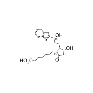 O=C(O)CCCCCC[C@H]1C(=O)CC(O)C1CC[C@@H](O)c1cc2ccccc2s1